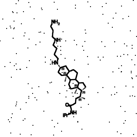 CC(C)NC(=O)CC[C@@H](C)[C@H]1CCC2C3CCC4C[C@@H](NCCCCNCCCN)CC[C@]4(C)C3CC[C@@]21C